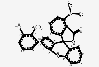 CCN(CC)c1cccc2c1C(=O)OC21c2ccccc2Oc2ccccc21.O=C(O)c1ccccc1O